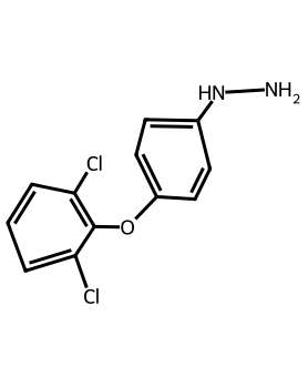 NNc1ccc(Oc2c(Cl)cccc2Cl)cc1